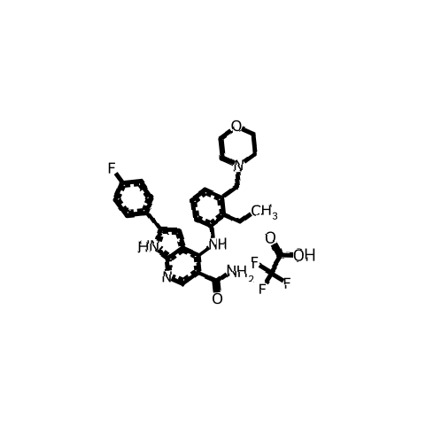 CCc1c(CN2CCOCC2)cccc1Nc1c(C(N)=O)cnc2[nH]c(-c3ccc(F)cc3)cc12.O=C(O)C(F)(F)F